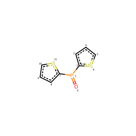 O=[P](c1cccs1)c1cccs1